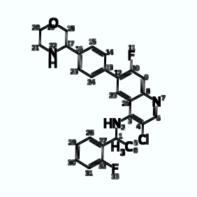 CC(Nc1c(Cl)cnc2cc(F)c(-c3ccc(C4COCCN4)cc3)cc12)c1ccccc1F